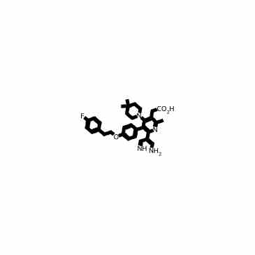 Cc1nc(/C(C=N)=C/N)c(-c2ccc(OCCc3ccc(F)cc3)cc2)c(N2CCC(C)(C)CC2)c1CC(=O)O